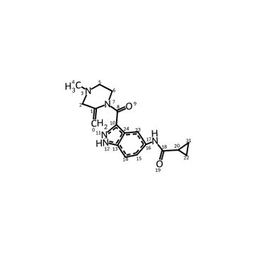 C=C1CN(C)CCN1C(=O)c1n[nH]c2ccc(NC(=O)C3CC3)cc12